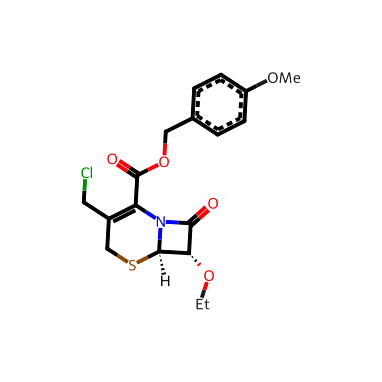 CCO[C@H]1C(=O)N2C(C(=O)OCc3ccc(OC)cc3)=C(CCl)CS[C@H]12